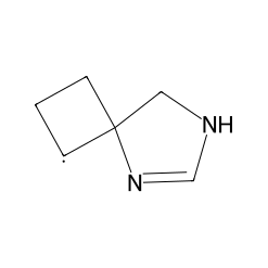 [CH]1CCC12CNC=N2